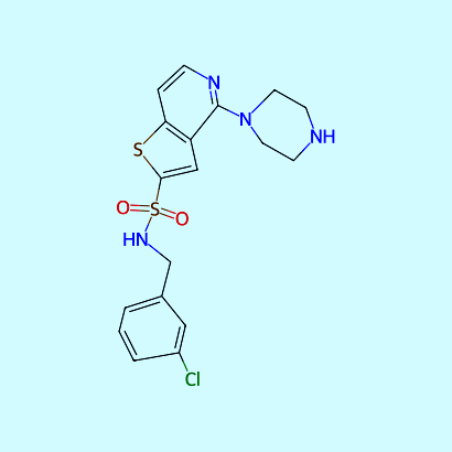 O=S(=O)(NCc1cccc(Cl)c1)c1cc2c(N3CCNCC3)nccc2s1